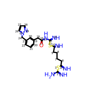 N=C(N)SC(=N)CCCCC(=N)SC(=N)NC(=O)Cc1cccc(Cn2cccn2)c1